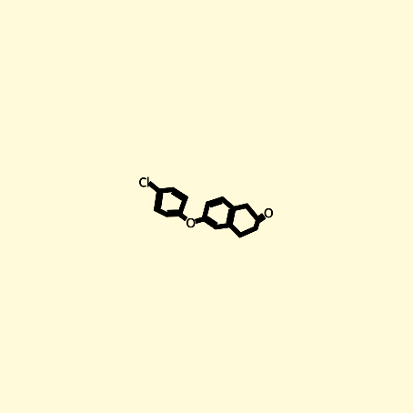 O=C1CCc2cc(Oc3ccc(Cl)cc3)ccc2C1